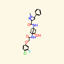 Cn1nc(C(=O)NC23CCC(NC(=O)COc4ccc(Cl)c(F)c4)(CC2)C(O)C3)cc1-c1ccccc1